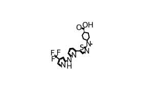 CN(c1ncc(-c2cccc(Nc3cc(C(F)(F)F)ccn3)n2)s1)[C@H]1CC[C@H](C(=O)O)CC1